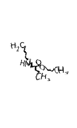 [CH2]CCCCCNCCC(CCC)C(=O)OCCCCCC